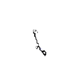 CCCCCCCCCC(=O)/C=C/c1ccccc1